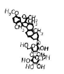 COc1ccc(C)c(C2CC3C4CC=C5CC(OC6O[C@H](CO)[C@@H](O[C@@H]7O[C@H](CO)[C@@H](O)[C@H](O)[C@H]7O)[C@H](O)[C@H]6O)CCC5(C)C4CCC3(C)C2C(C)=O)c1